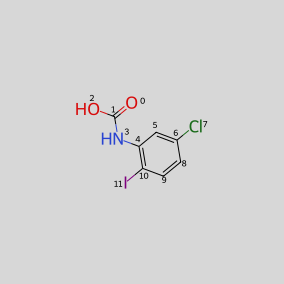 O=C(O)Nc1cc(Cl)ccc1I